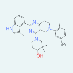 Cc1ccc(C(C)C)cc1N1CCc2nc(-c3cccc4[nH]cc(C)c34)nc(N3CC[C@H](O)C(C)(C)C3)c2C1